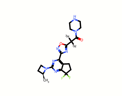 [2H]C([2H])(C(=O)N1CCNCC1)c1nc(-c2nc(N3CC[C@@H]3C)nc3c2CCC3(F)F)no1